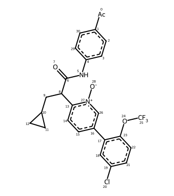 CC(=O)c1ccc(NC(=O)C(CC2CC2)c2ccc(-c3cc(Cl)ccc3OC(F)(F)F)c[n+]2[O-])cc1